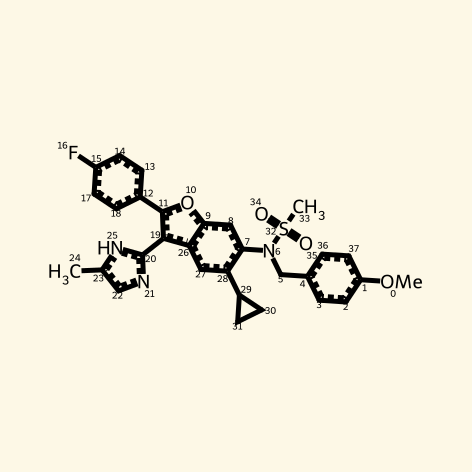 COc1ccc(CN(c2cc3oc(-c4ccc(F)cc4)c(-c4ncc(C)[nH]4)c3cc2C2CC2)S(C)(=O)=O)cc1